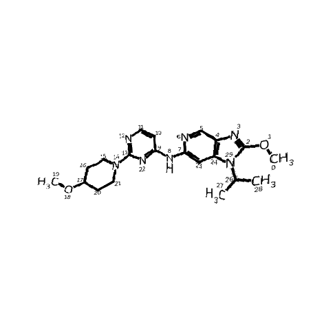 COc1nc2cnc(Nc3ccnc(N4CCC(OC)CC4)n3)cc2n1C(C)C